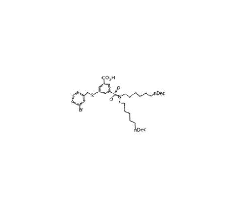 CCCCCCCCCCCCCCCCN(CCCCCCCCCCCCCCCC)S(=O)(=O)c1cc(SCc2cccc(Br)c2)cc(C(=O)O)c1